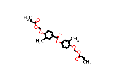 C=CC(=O)OCOc1ccc(OC(=O)c2ccc(OCOC(=O)C=C)c(C)c2)cc1C